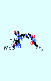 COC(=O)Nc1cc(C(F)(F)F)c(-c2nc(N3CCOCC3)c3cc(CN4CCN(C(=O)CNC(=O)/C=C/CC(F)(F)F)CC4)cn3n2)cn1